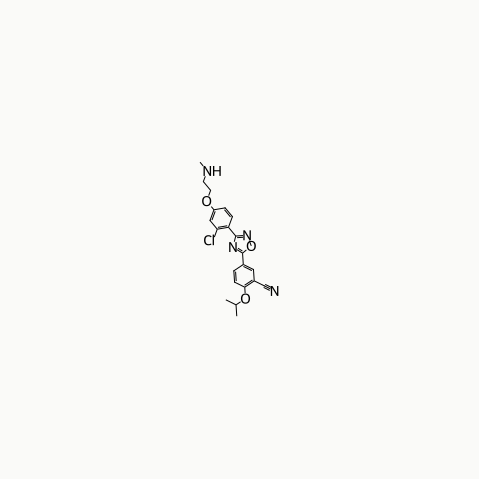 CNCCOc1ccc(-c2noc(-c3ccc(OC(C)C)c(C#N)c3)n2)c(Cl)c1